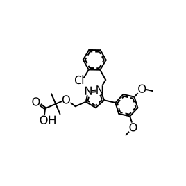 COc1cc(OC)cc(-c2cc(COC(C)(C)C(=O)O)nn2Cc2ccccc2Cl)c1